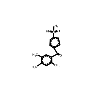 Cc1cc(C(=O)c2ccc(S(C)(=N)=O)cc2)c(C)cc1N